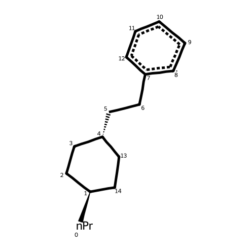 CCC[C@H]1CC[C@H](CCc2[c]cccc2)CC1